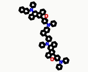 c1ccc(N(c2ccccc2)c2ccc3c(c2)Oc2cccc4c2c-3cc2c3ccccc3c(N(c3ccccc3)c3cccc(-c5cccc6cc(N(c7ccccc7)c7ccc8c(c7)Oc7cccc9c7c-8cc7c8ccccc8c(N(c8ccccc8)c8ccc%10ccccc%10c8)cc97)ccc56)c3)cc42)cc1